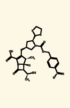 C[C@@H](O)[C@H]1C(=O)N2C(C(=O)O)=C(S[C@H]3C[C@@H](C4SCCS4)N(C(=O)OCc4ccc([N+](=O)[O-])cc4)C3)[C@H](C)[C@H]12